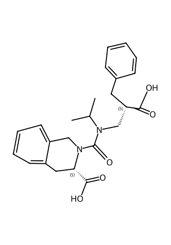 CC(C)N(C[C@H](Cc1ccccc1)C(=O)O)C(=O)N1Cc2ccccc2C[C@H]1C(=O)O